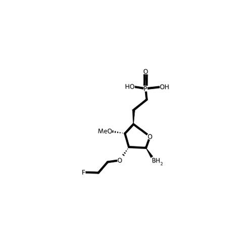 B[C@@H]1O[C@H](CCP(=O)(O)O)[C@@H](OC)[C@H]1OCCF